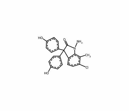 Cc1c(Cl)ccc2c1N(N)C(=O)C2(c1ccc(O)cc1)c1ccc(O)cc1